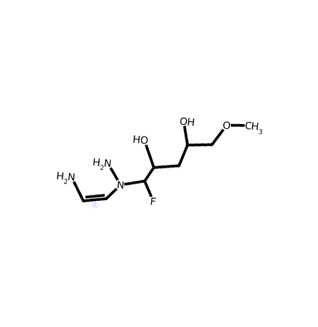 COCC(O)CC(O)C(F)N(N)/C=C\N